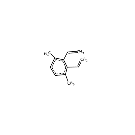 C=Cc1c(C)ccc(C)c1C=C